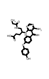 CCC(=O)NCC(CCC(=O)O)Nc1ncnc(N)c1C(=N)c1ccc(Oc2ccc(O)cc2)cc1